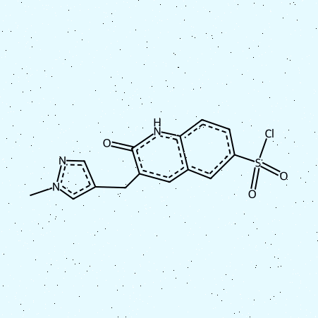 Cn1cc(Cc2cc3cc(S(=O)(=O)Cl)ccc3[nH]c2=O)cn1